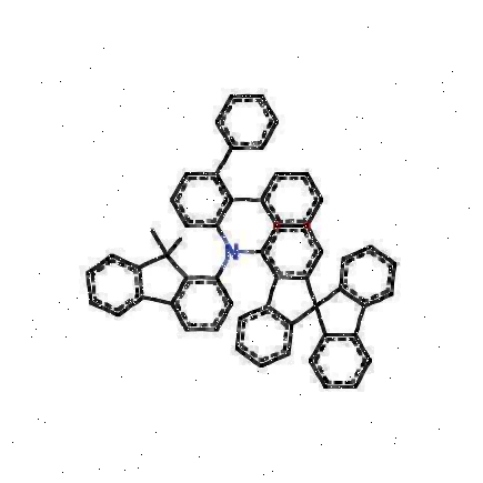 CC1(C)c2ccccc2-c2cccc(N(c3cccc(-c4ccccc4)c3-c3ccccc3)c3cccc4c3-c3ccccc3C43c4ccccc4-c4ccccc43)c21